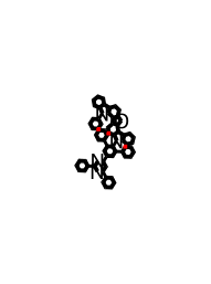 c1ccc(-c2cc(-c3cc(-c4ccccc4)c(-n4c5ccccc5c5c6oc7ccc8c9ccccc9n(-c9ccccc9)c8c7c6ccc54)c(-c4ccccc4)c3)nc(-c3ccccc3)n2)cc1